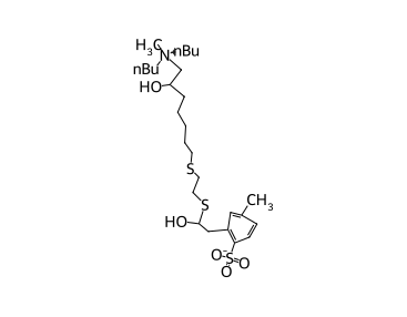 CCCC[N+](C)(CCCC)CC(O)CCCCCSCCSC(O)Cc1cc(C)ccc1S(=O)(=O)[O-]